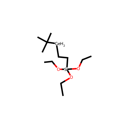 CCO[Si](C[CH2][GeH2][C](C)(C)C)(OCC)OCC